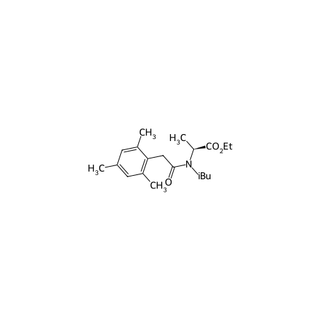 CCOC(=O)[C@H](C)N(C(=O)Cc1c(C)cc(C)cc1C)C(C)CC